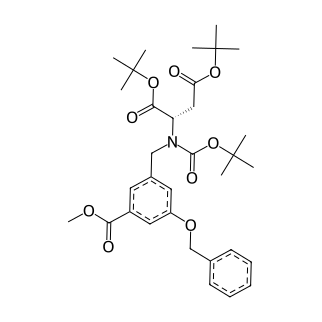 COC(=O)c1cc(CN(C(=O)OC(C)(C)C)[C@@H](CC(=O)OC(C)(C)C)C(=O)OC(C)(C)C)cc(OCc2ccccc2)c1